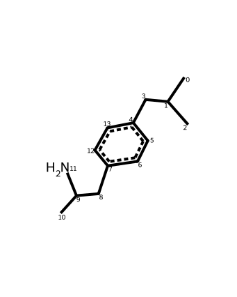 CC(C)Cc1ccc(CC(C)N)cc1